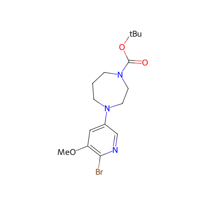 COc1cc(N2CCCN(C(=O)OC(C)(C)C)CC2)cnc1Br